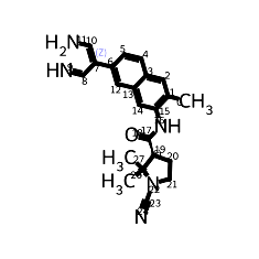 Cc1cc2ccc(/C(C=N)=C/N)cc2cc1NC(=O)[C@H]1CCN(C#N)C1(C)C